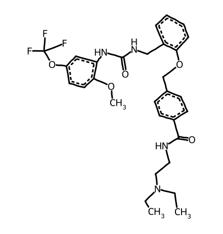 CCN(CC)CCNC(=O)c1ccc(COc2ccccc2CNC(=O)Nc2cc(OC(F)(F)F)ccc2OC)cc1